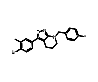 Cc1cc(-c2onc3c2CCCN3Cc2ccc(F)cc2)ccc1Br